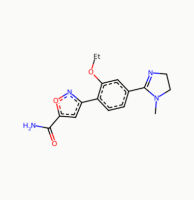 CCOc1cc(C2=NCCN2C)ccc1-c1cc(C(N)=O)on1